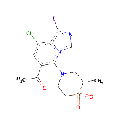 CC(=O)c1cc(Cl)c2c(I)ncn2c1N1CCS(=O)(=O)C(C)C1